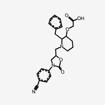 N#Cc1ccc(N2CC(CN3CCCC(OCC(=O)O)C3Cc3ccccc3)OC2=O)cc1